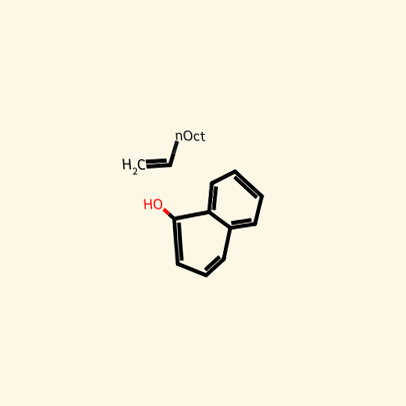 C=CCCCCCCCC.Oc1cccc2ccccc12